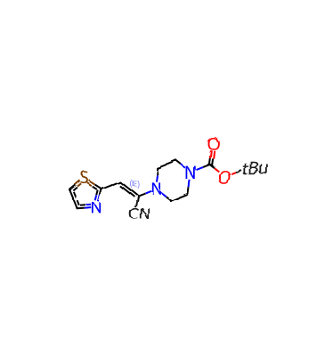 CC(C)(C)OC(=O)N1CCN(/C(C#N)=C/c2nccs2)CC1